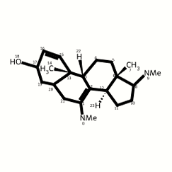 CNC1=C2[C@@H](CC[C@]3(C)C(NC)CC[C@@H]23)[C@@]2(C)C=CC(O)CC2C1